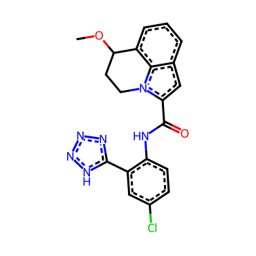 COC1CCn2c(C(=O)Nc3ccc(Cl)cc3-c3nnn[nH]3)cc3cccc1c32